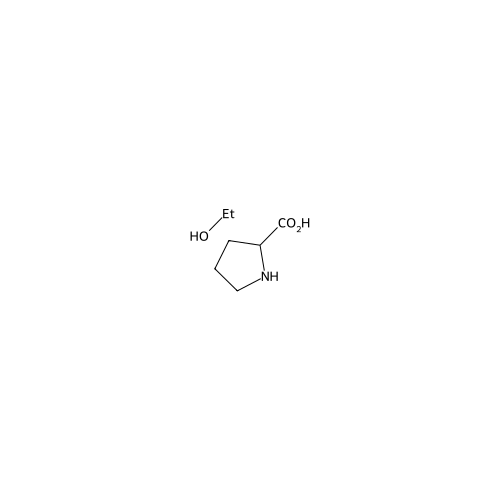 CCO.O=C(O)C1CCCN1